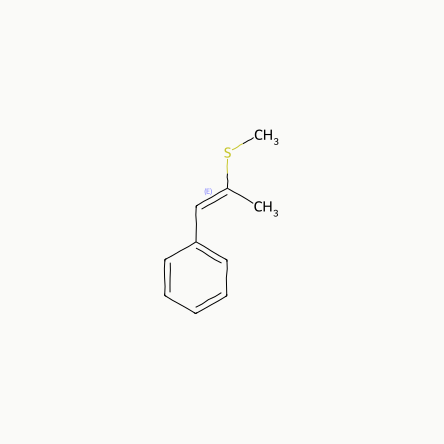 CS/C(C)=C/c1ccccc1